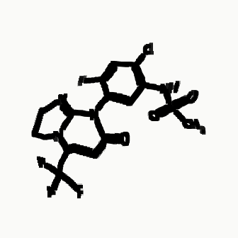 CS(=O)(=O)Nc1cc(N2C(=O)C=C(C(F)(F)F)N3CCN=C32)c(F)cc1Cl